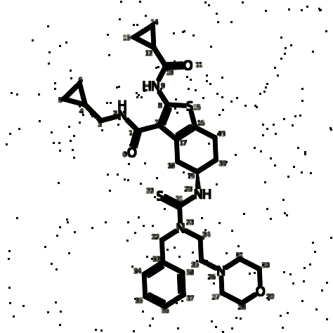 O=C(NCC1CC1)c1c(NC(=O)C2CC2)sc2c1C[C@H](NC(=S)N(CCN1CCOCC1)Cc1ccccc1)CC2